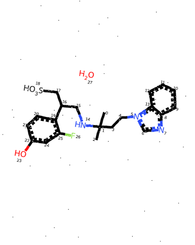 CC(C)(CCn1cnc2ccccc21)NCC(CS(=O)(=O)O)c1ccc(O)cc1F.O